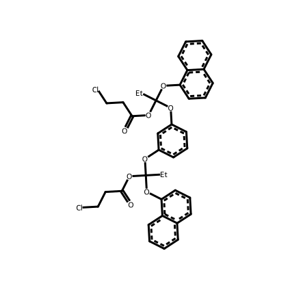 CCC(OC(=O)CCCl)(Oc1cccc(OC(CC)(OC(=O)CCCl)Oc2cccc3ccccc23)c1)Oc1cccc2ccccc12